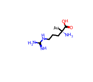 N=C(N)NCCC[C@@](N)([Au])C(=O)O